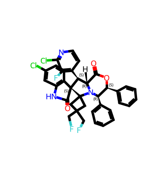 O=C1O[C@@H](c2ccccc2)[C@@H](c2ccccc2)N2[C@@H]1[C@H](c1ccnc(Cl)c1F)[C@@]1(C(=O)Nc3cc(Cl)ccc31)C21CC(CF)(CF)C1